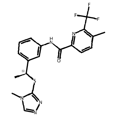 Cc1ccc(C(=O)Nc2cccc([C@H](C)Sc3nncn3C)c2)nc1C(F)(F)F